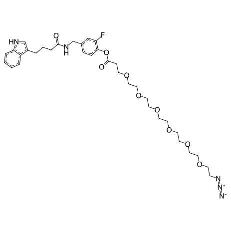 [N-]=[N+]=NCCOCCOCCOCCOCCOCCOCCC(=O)Oc1ccc(CNC(=O)CCCc2c[nH]c3ccccc23)cc1F